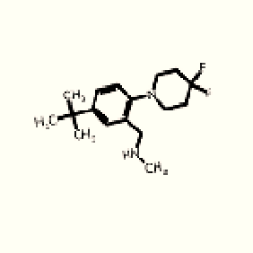 CNCc1cc(C(C)(C)C)ccc1N1CCC(F)(F)CC1